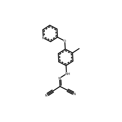 Cc1cc(NN=C(C#N)C#N)ccc1Oc1cccnc1